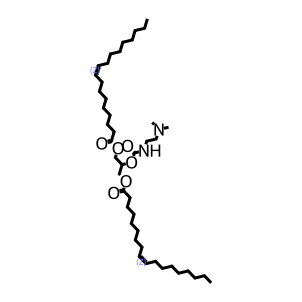 CCCCCCCC/C=C\CCCCCCCC(=O)OCC(COC(=O)CCCCCCC/C=C\CCCCCCCC)OC(=O)NCCN(C)C